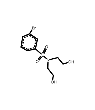 O=S(=O)(c1cccc(Br)c1)N(CCO)CCO